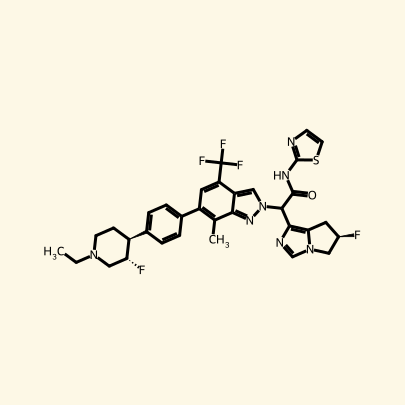 CCN1CC[C@@H](c2ccc(-c3cc(C(F)(F)F)c4cn(C(C(=O)Nc5nccs5)c5ncn6c5C[C@@H](F)C6)nc4c3C)cc2)[C@H](F)C1